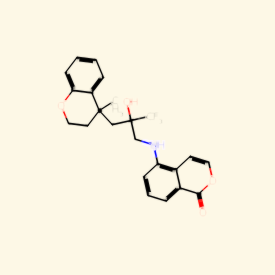 CC1(CC(O)(CNc2cccc3c(=O)occc23)C(F)(F)F)CCOc2ccccc21